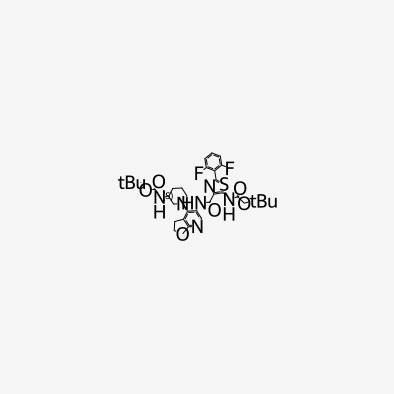 CC(C)(C)OC(=O)Nc1sc(-c2c(F)cccc2F)nc1C(=O)Nc1cnc2c(c1N1CCC[C@H](NC(=O)OC(C)(C)C)C1)CCO2